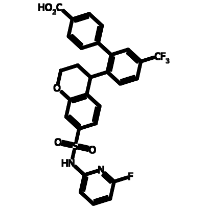 O=C(O)c1ccc(-c2cc(C(F)(F)F)ccc2C2CCOc3cc(S(=O)(=O)Nc4cccc(F)n4)ccc32)cc1